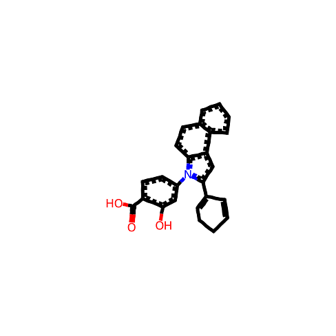 O=C(O)c1ccc(-n2c(C3=CCCC=C3)cc3c4ccccc4ccc32)cc1O